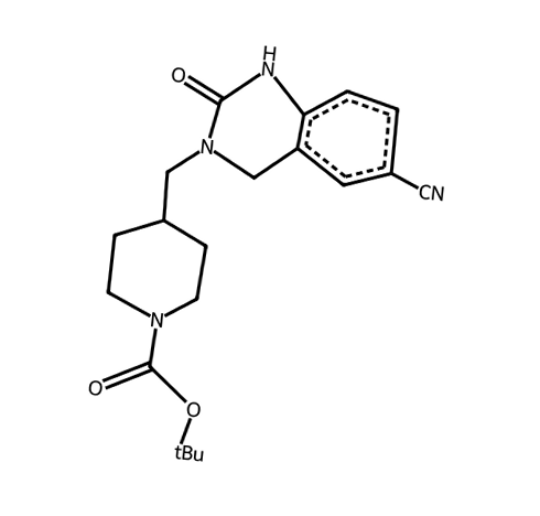 CC(C)(C)OC(=O)N1CCC(CN2Cc3cc(C#N)ccc3NC2=O)CC1